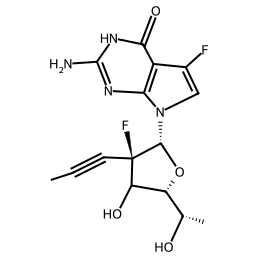 CC#C[C@@]1(F)C(O)[C@@H]([C@H](C)O)O[C@H]1n1cc(F)c2c(=O)[nH]c(N)nc21